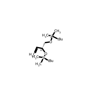 C=C[C@H](CO[Si](C)(C)C(C)(C)C)O[Si](C)(C)C(C)(C)C